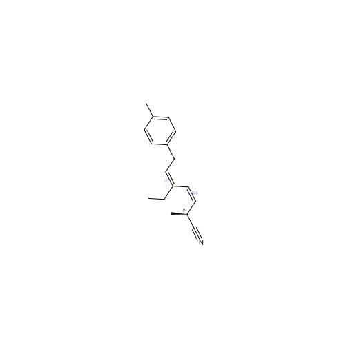 CCC(/C=C\[C@H](C)C#N)=C/Cc1ccc(C)cc1